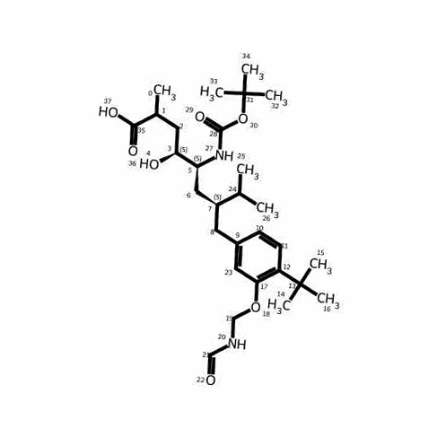 CC(C[C@H](O)[C@H](C[C@H](Cc1ccc(C(C)(C)C)c(OCNC=O)c1)C(C)C)NC(=O)OC(C)(C)C)C(=O)O